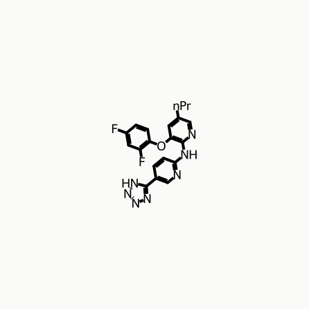 CCCc1cnc(Nc2ccc(-c3nnn[nH]3)cn2)c(Oc2ccc(F)cc2F)c1